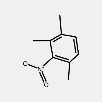 Cc1ccc(C)c([N+](=O)[O-])c1C